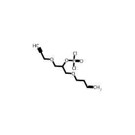 C#CCOCC(COCCC=C)OP(=O)(Cl)Cl